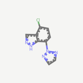 Clc1ccc(-n2nccn2)c2[nH]ncc12